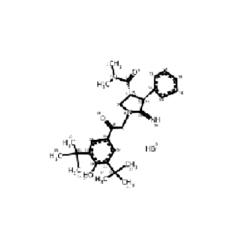 Br.CN(C)C(=O)[C@H]1CN(CC(=O)c2cc(C(C)(C)C)c(O)c(C(C)(C)C)c2)C(=N)[C@@H]1c1ccccc1